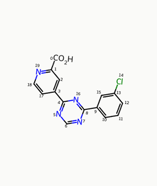 O=C(O)c1cc(-c2ncnc(-c3cccc(Cl)c3)n2)ccn1